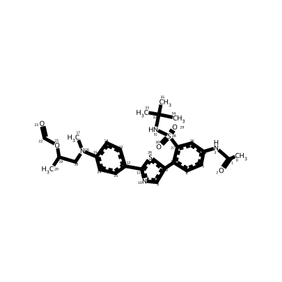 CC(=O)Nc1ccc(-c2cnc(-c3ccc(N(C)CC(C)OC=O)cc3)s2)c(S(=O)(=O)NC(C)(C)C)c1